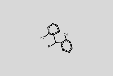 N#Cc1ccccc1C(Br)c1ccccc1C#N